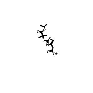 CC(C)OC(=O)C(C)(C)Sc1nc(CC(=O)O)cs1